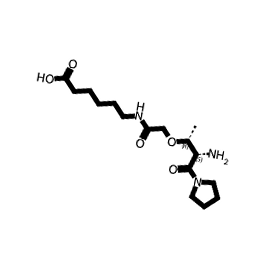 C[C@@H](OCC(=O)NCCCCCC(=O)O)[C@H](N)C(=O)N1CCCC1